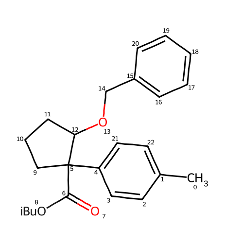 Cc1ccc(C2(C(=O)OCC(C)C)CCCC2OCc2ccccc2)cc1